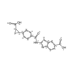 O=C(O)c1ccc2nc(NC(=O)c3ccc(C4CC4C(=O)O)cc3)sc2c1